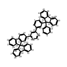 c1ccc(C2(c3cccc(-c4cc(-c5cccc(C6(c7ccccc7)c7ccccc7-c7ccccc76)c5)ncn4)c3)c3ccccc3-c3ccccc32)cc1